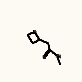 CNC(=O)CC1CC[N]1